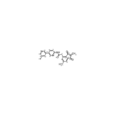 Cc1cc(CC(=O)Nc2ccc(-c3cncc(F)c3)cn2)c2c(c1)C(=O)N(C)C2=O